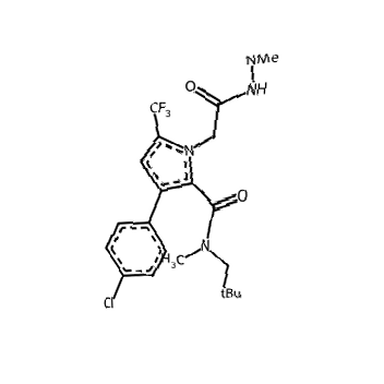 CNNC(=O)Cn1c(C(F)(F)F)cc(-c2ccc(Cl)cc2)c1C(=O)N(C)CC(C)(C)C